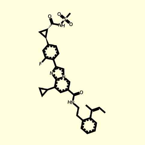 C/C=C(/C)c1ccccc1CCNC(=O)c1cc(C2CC2)c2nc(-c3ccc([C@H]4C[C@@H]4C(=O)NS(C)(=O)=O)cc3F)cn2c1